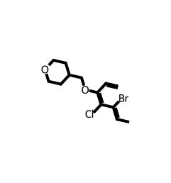 C=C/C(OCC1CCOCC1)=C(Cl)\C(Br)=C\C